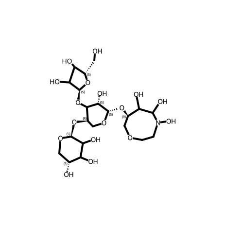 OC[C@@H]1O[C@@H](OC2[C@H](O[C@@H]3OC[C@@H](O)C(O)C3O)CO[C@@H](O[C@@H]3COCCN(O)C(O)C3O)[C@H]2O)C(O)C1O